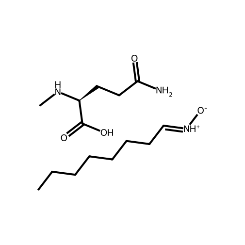 CCCCCCCC=[NH+][O-].CN[C@@H](CCC(N)=O)C(=O)O